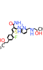 CC(O)Cc1ccc(-c2cc(C(N)=O)c(Nc3cccc(CNC[C@H](C)O)n3)s2)c(F)c1